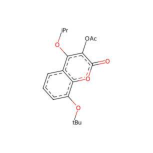 CC(=O)Oc1c(OC(C)C)c2cccc(OC(C)(C)C)c2oc1=O